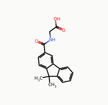 CC1(C)c2ccccc2-c2cc(C(=O)NCC(=O)O)ccc21